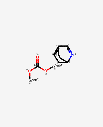 C1=NC2CC=C1CC2.CCCCCOC(=O)OCCCCC